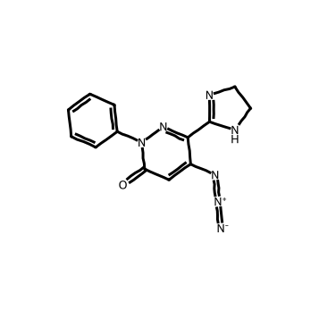 [N-]=[N+]=Nc1cc(=O)n(-c2ccccc2)nc1C1=NCCN1